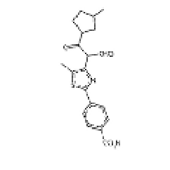 Cc1sc(-c2ccc(C(=O)O)cc2)nc1C(C=O)C(=O)C1CCC(C)C1